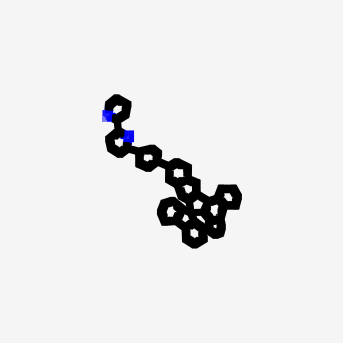 c1ccc(-c2cccc(-c3ccc(-c4ccc5cc6c(cc5c4)C4(c5ccccc5-c5ccccc54)c4c-6c5ccccc5c5ccccc45)cc3)n2)nc1